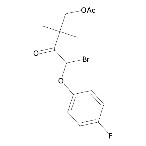 CC(=O)OCC(C)(C)C(=O)C(Br)Oc1ccc(F)cc1